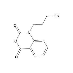 N#CCCCn1c(=O)oc(=O)c2ccccc21